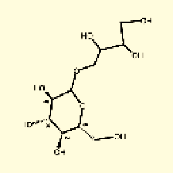 OCC(O)C(O)COC1O[C@H](CO)[C@@H](O)[C@H](O)[C@H]1O